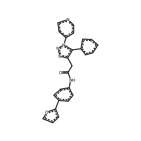 O=C(Cc1nnn(-c2ccncc2)c1-c1ccccc1)Nc1ccc(-c2ccco2)cc1